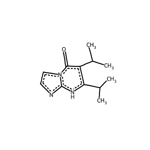 CC(C)c1[nH]c2nccn2c(=O)c1C(C)C